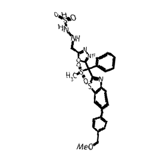 COCc1ccc(-c2ccc3nc(C(c4nnc(CNN[SH](=O)=O)o4)(c4ccccc4F)S(C)(=O)=O)sc3c2)cc1